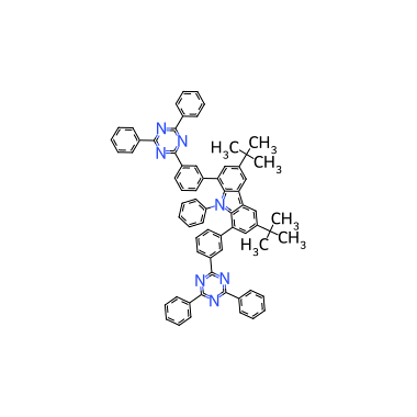 CC(C)(C)c1cc(-c2cccc(-c3nc(-c4ccccc4)nc(-c4ccccc4)n3)c2)c2c(c1)c1cc(C(C)(C)C)cc(-c3cccc(-c4nc(-c5ccccc5)nc(-c5ccccc5)n4)c3)c1n2-c1ccccc1